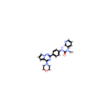 CC(C)N(C(=O)Nc1ccc(-c2nc(N3CCOCC3)c3cccn3n2)cc1)c1cccnc1